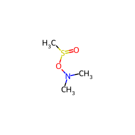 CN(C)OS(C)=O